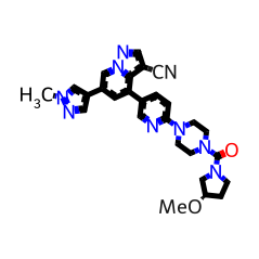 CO[C@@H]1CCN(C(=O)N2CCN(c3ccc(-c4cc(-c5cnn(C)c5)cn5ncc(C#N)c45)cn3)CC2)C1